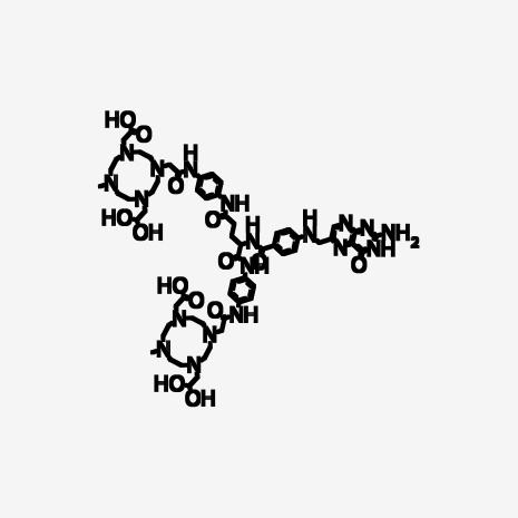 CN1CCN(CC(=O)O)CCN(CC(=O)Nc2ccc(NC(=O)CCC(NC(=O)c3ccc(NCc4cnc5nc(N)[nH]c(=O)c5n4)cc3)C(=O)Nc3ccc(NC(=O)CN4CCN(CC(=O)O)CCN(C)CCN(CC(O)O)CC4)cc3)cc2)CCN(CC(O)O)CC1